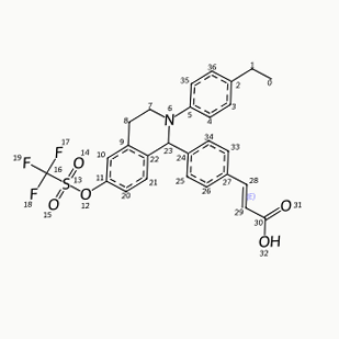 CCc1ccc(N2CCc3cc(OS(=O)(=O)C(F)(F)F)ccc3C2c2ccc(/C=C/C(=O)O)cc2)cc1